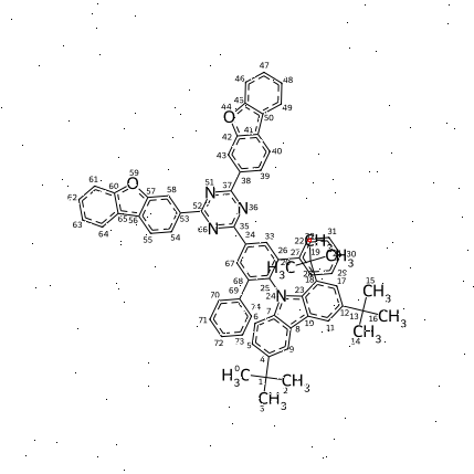 CC(C)(C)c1ccc2c(c1)c1cc(C(C)(C)C)cc(C(C)(C)C)c1n2-c1c(-c2ccccc2)cc(-c2nc(-c3ccc4c(c3)oc3ccccc34)nc(-c3ccc4c(c3)oc3ccccc34)n2)cc1-c1ccccc1